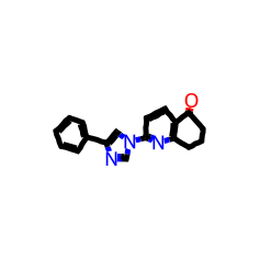 O=C1CCCc2nc(-n3cnc(-c4ccccc4)c3)ccc21